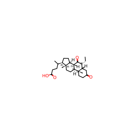 CC[C@H]1C(=O)[C@@H]2[C@H](CC[C@]3(C)[C@@H](C(C)CCC(=O)O)CC[C@@H]23)[C@@]2(C)CCC(=O)C[C@@H]12